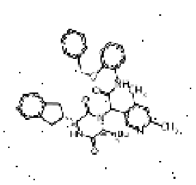 CC[C@H](C)[C@@H]1C(=O)N[C@H](C2Cc3ccccc3C2)C(=O)N1C(C(=O)Nc1ccccc1OCc1ccccc1)c1cnc(C)cc1C